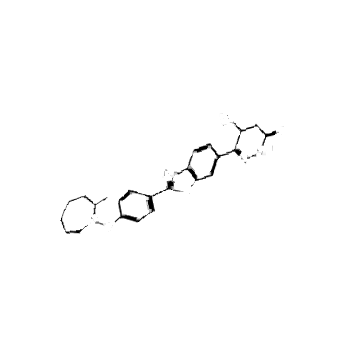 CCC1CC(=O)NN=C1c1ccc2nc(-c3ccc(ON4CCCCCC4C)cc3)oc2c1